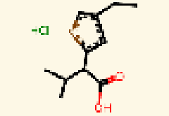 CCc1csc(C(C(=O)O)C(C)C)c1.Cl